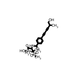 CC(C#CC#Cc1ccc(C(=O)NC(C(=O)NO)C(C)(C)S(C)(=O)=O)cc1)CO